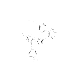 FC(F)(F)c1ccc(-c2nc(I)oc2-c2ccc(-c3oc(I)nc3-c3ccc(C(F)(F)F)cc3)o2)cc1